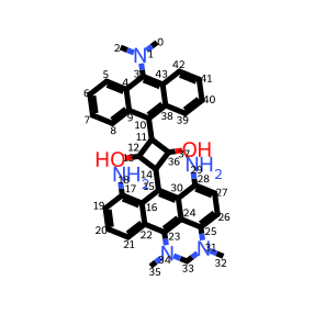 CN(C)c1c2ccccc2c(C2C(O)C(c3c4c(N)cccc4c4c5c(ccc(N)c35)N(C)CN4C)C2O)c2ccccc12